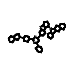 c1ccc(-c2cc(-c3ccc4c(c3)sc3cccc(-n5c6ccccc6c6cc7ccccc7cc65)c34)nc(-c3ccc(-c4ccc5ccccc5c4)cc3)n2)cc1